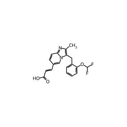 Cc1nc2ccc(/C=C/C(=O)O)cn2c1Cc1ccccc1OC(F)F